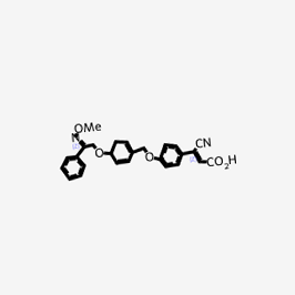 CO/N=C(\COC1C=CC(COc2ccc(/C(C#N)=C/C(=O)O)cc2)=CC1)c1ccccc1